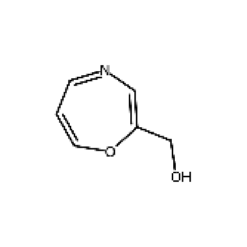 OCC1=CN=CC=CO1